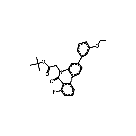 CCOc1cccc(-c2cccc(N(CC(=O)OC(C)(C)C)C(=O)c3c(F)cccc3F)c2)c1